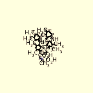 C/C(=C/C(=O)O)C(=O)O.Cc1ccc(Nc2ccc(C)c(C)c2C)c(C)c1C.Cc1ccc(Nc2ccc(C)c(C)c2C)c(C)c1C